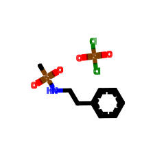 CS(=O)(=O)NCCc1ccccc1.O=S(=O)(Cl)Cl